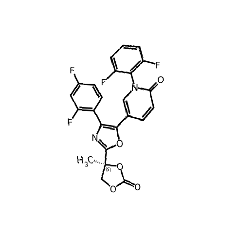 C[C@@]1(c2nc(-c3ccc(F)cc3F)c(-c3ccc(=O)n(-c4c(F)cccc4F)c3)o2)COC(=O)O1